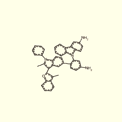 Cc1c(-c2c(C)n(-c3ccccc3)c3ccc(-c4ccc(N)cc4-n4c5ccccc5c5cc(N)ccc54)cc23)oc2ccccc12